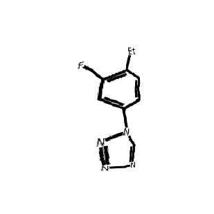 CCc1ccc(-n2cnnn2)cc1F